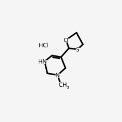 CN1CNC=C(C2OCCS2)C1.Cl